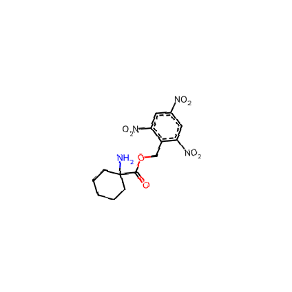 NC1(C(=O)OCc2c([N+](=O)[O-])cc([N+](=O)[O-])cc2[N+](=O)[O-])CCCCC1